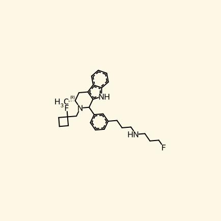 C[C@@H]1Cc2c([nH]c3ccccc23)C(c2cccc(CCCNCCCF)c2)N1CC1(F)CCC1